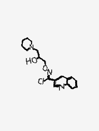 OC(CON=C(Cl)c1cnc2ccccc2c1)CN1CCCCC1